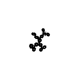 C1=CC2c3ccccc3N(c3ccc4c(c3)c3cc(-n5c6ccccc6c6ccccc65)ccc3n4-c3ccc4c(c3)c3ccc(-c5ccccc5)cc3n4-c3ccc(-c4nc(-c5ccccc5)nc(-c5ccccc5)n4)cc3)C2C=C1